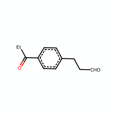 CCC(=O)c1ccc(CCC=O)cc1